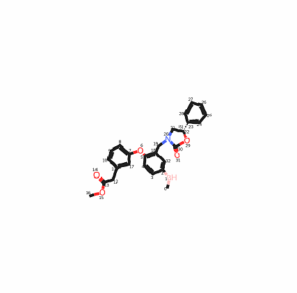 CBc1ccc(Oc2cccc(CC(=O)OC)c2)c(CN2C[C@H](c3ccccc3)OC2=O)c1